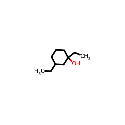 CCC1CCCC(O)(CC)C1